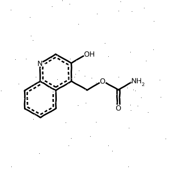 NC(=O)OCc1c(O)cnc2ccccc12